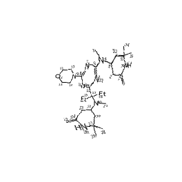 C=C1CC(N(C)c2nc(N3CCOCC3)nc(C(CC)(CC)N(C)C3CC(=C)NC(C)(C)C3)n2)CC(C)(C)N1